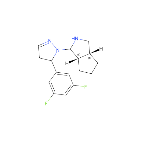 Fc1cc(F)cc(C2CC=NN2C2NC[C@@H]3CCC[C@H]23)c1